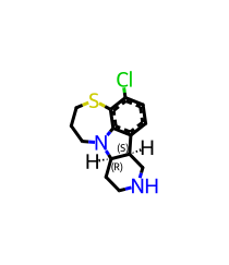 Clc1ccc2c3c1SCCCN3[C@@H]1CCNC[C@H]21